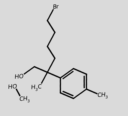 CO.Cc1ccc(C(C)(CO)CCCCBr)cc1